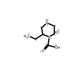 CCC1CNCCN1C(=O)O.Cl